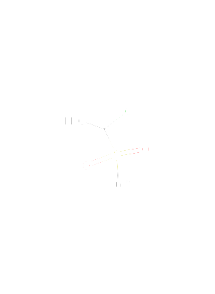 CCCS(=O)(=O)C(C)Cl